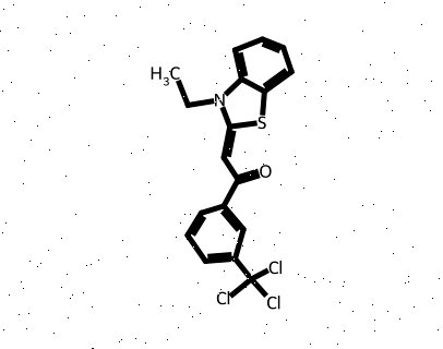 CCN1/C(=C/C(=O)c2cccc(C(Cl)(Cl)Cl)c2)Sc2ccccc21